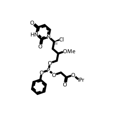 COC(COP(OCC(=O)OC(C)C)Oc1ccccc1)C[C@H](Cl)n1ccc(=O)[nH]c1=O